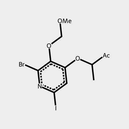 COCOc1c(OC(C)C(C)=O)cc(I)nc1Br